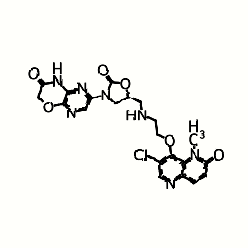 Cn1c(=O)ccc2ncc(Cl)c(OCCNC[C@H]3CN(c4cnc5c(n4)NC(=O)CO5)C(=O)O3)c21